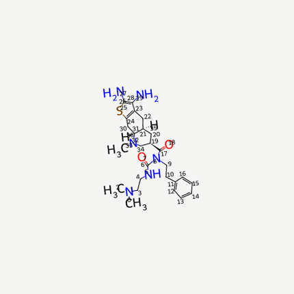 CN(C)CCNC(=O)N(CCc1ccccc1)C(=O)[C@@H]1C[C@@H]2Cc3c(sc(N)c3N)C[C@H]2N(C)C1